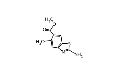 COC(=O)c1cc2sc(N)nc2cc1C